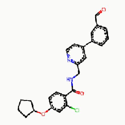 O=Cc1cccc(-c2ccnc(CNC(=O)c3ccc(OC4CCCC4)cc3Cl)c2)c1